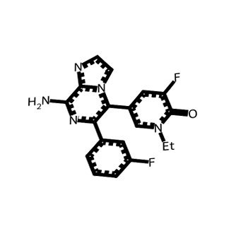 CCn1cc(-c2c(-c3cccc(F)c3)nc(N)c3nccn23)cc(F)c1=O